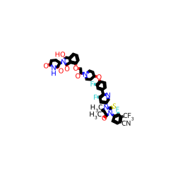 CC1(C)C(=O)N(c2ccc(C#N)c(C(F)(F)F)c2F)C(=S)N1c1cnc(-c2ccc(OC3CCN(C(=O)COc4cccc5c4C(=O)N(C4CCC(=O)NC4=O)C5O)CC3)c(F)c2)c(F)c1